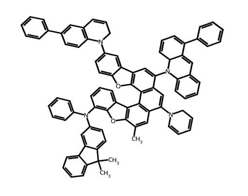 Cc1cc2c(N3C=CC=CC3)cc3c(N4c5ccccc5C=C5C(c6ccccc6)=CC=CC54)cc4c5cc(N6CC=Cc7cc(-c8ccccc8)ccc76)ccc5oc4c3c2c2c1oc1c(N(c3ccccc3)c3ccc4c(c3)-c3ccccc3C4(C)C)cccc12